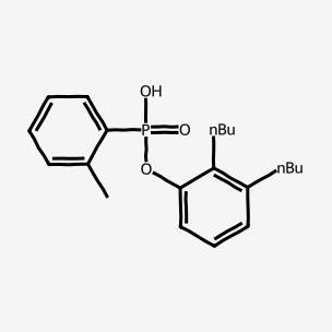 CCCCc1cccc(OP(=O)(O)c2ccccc2C)c1CCCC